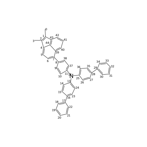 CC1=C(C)c2ccc(-c3ccc(N(c4ccc(-c5ccccc5)cc4)c4ccc(-c5ccccc5)cc4)cc3)c3cccc1c23